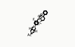 CC(=O)N1C[C@@H]2CN(c3ccc(CN4[C@@H](C)CCC(c5ccccc5)S4(=O)=O)c(F)c3)C[C@@H]2C1